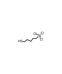 SCCCCC[Si](Cl)(Cl)Cl